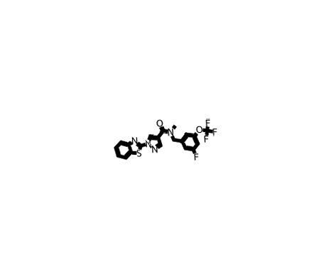 CN(Cc1cc(F)cc(OC(F)(F)F)c1)C(=O)c1cnn(-c2nc3ccccc3s2)c1